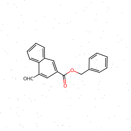 O=Cc1cc(C(=O)OCc2ccccc2)cc2ccccc12